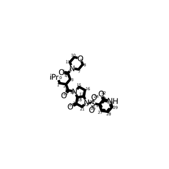 CC(C)CC(CC(=O)N1CCOCC1)C(=O)N1CCC2C1C(=O)CN2S(=O)(=O)c1ccc[nH]c1=O